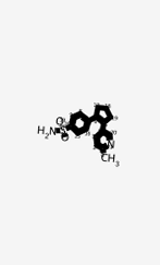 Cc1ccc(C2=C(c3ccc(S(N)(=O)=O)cc3)CCC2)cn1